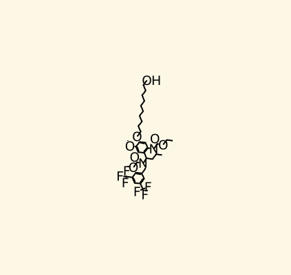 CCOC(=O)N1c2cc(OCCCCCCCCCCO)c(OC)cc2C(N(Cc2cc(C(F)(F)F)cc(C(F)(F)F)c2)C(=O)OC)CC1C